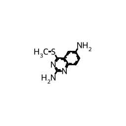 CSc1nc(N)nc2ccc(N)cc12